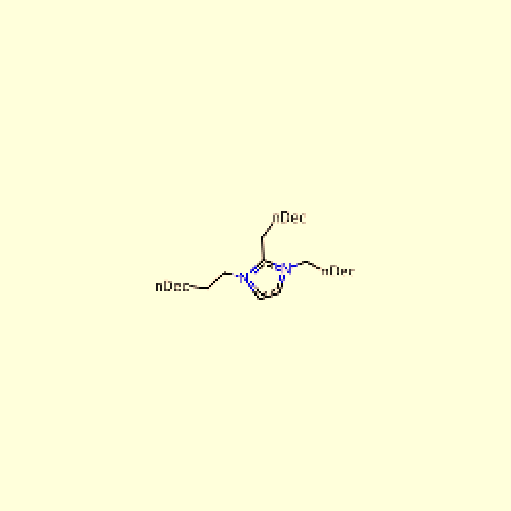 CCCCCCCCCCCC[n+]1ccn(CCCCCCCCCCC)c1CCCCCCCCCCC